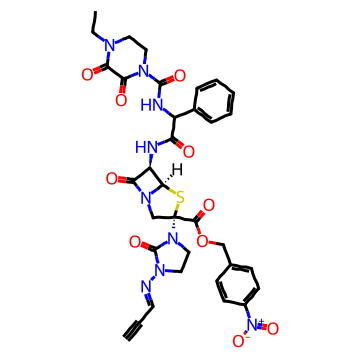 C#C/C=N/N1CCN([C@]2(C(=O)OCc3ccc([N+](=O)[O-])cc3)CN3C(=O)[C@@H](NC(=O)C(NC(=O)N4CCN(CC)C(=O)C4=O)c4ccccc4)[C@H]3S2)C1=O